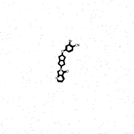 N#Cc1ccc(OC2CC3CC(N4Cc5ncccc5C4=O)CC3C2)cc1Br